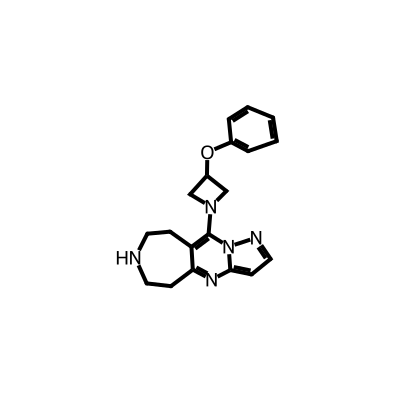 c1ccc(OC2CN(c3c4c(nc5ccnn35)CCNCC4)C2)cc1